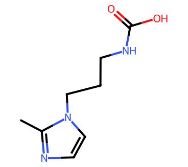 Cc1nccn1CCCNC(=O)O